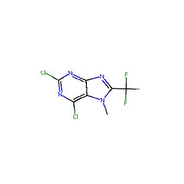 Cn1c(C(C)(F)F)nc2nc(Cl)nc(Cl)c21